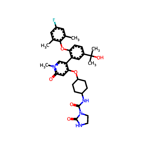 Cc1cc(F)cc(C)c1Oc1ccc(C(C)(C)O)cc1-c1cn(C)c(=O)cc1OC1CCC(NC(=O)N2CCNC2=O)CC1